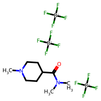 CN1CCC(C(=O)N(C)C)CC1.F[B-](F)(F)F.F[B-](F)(F)F.F[B-](F)(F)F